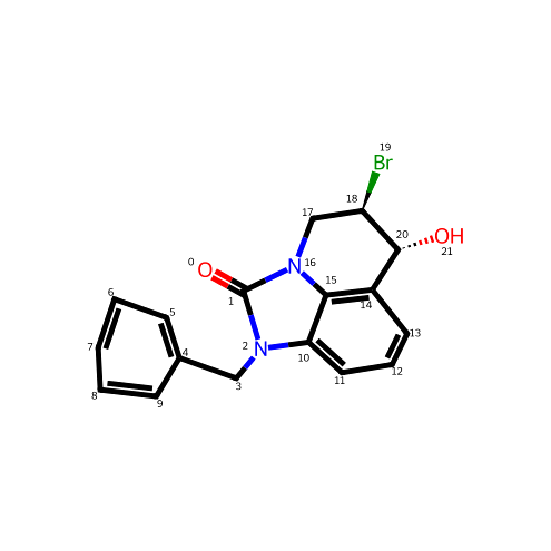 O=c1n(Cc2ccccc2)c2cccc3c2n1C[C@@H](Br)[C@@H]3O